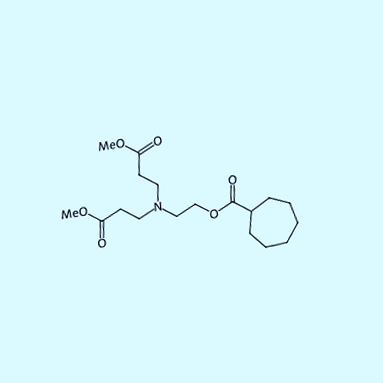 COC(=O)CCN(CCOC(=O)C1CCCCCC1)CCC(=O)OC